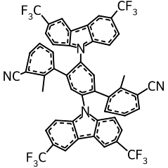 Cc1c(C#N)cccc1-c1cc(-n2c3ccc(C(F)(F)F)cc3c3cc(C(F)(F)F)ccc32)c(-c2cccc(C#N)c2C)cc1-n1c2ccc(C(F)(F)F)cc2c2cc(C(F)(F)F)ccc21